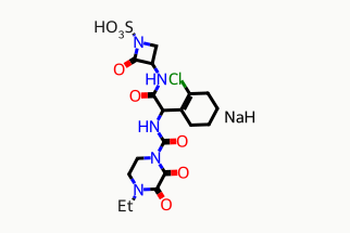 CCN1CCN(C(=O)NC(C(=O)NC2CN(S(=O)(=O)O)C2=O)C2=C(Cl)CCCC2)C(=O)C1=O.[NaH]